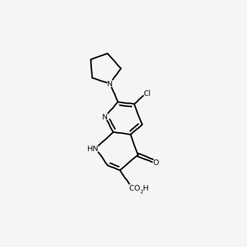 O=C(O)c1c[nH]c2nc(N3CCCC3)c(Cl)cc2c1=O